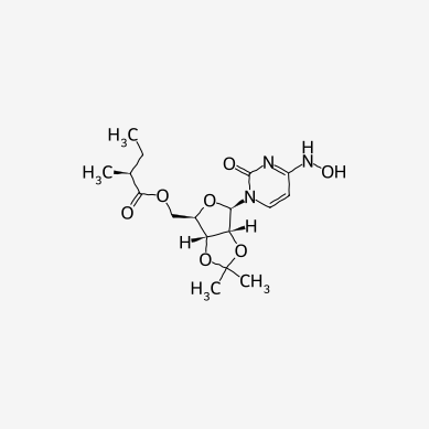 CC[C@H](C)C(=O)OC[C@H]1O[C@@H](n2ccc(NO)nc2=O)[C@@H]2OC(C)(C)O[C@@H]21